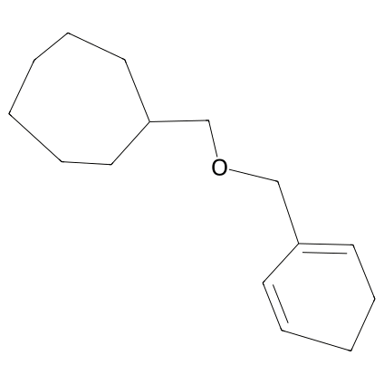 C1=CC(COCC2CCCCCC2)=CCC1